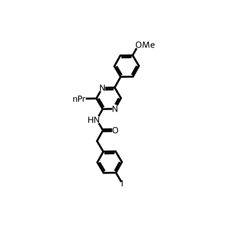 CCCc1nc(-c2ccc(OC)cc2)cnc1NC(=O)Cc1ccc(I)cc1